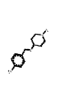 CC(=O)N1CCC(OCc2ccc(N)cc2)CC1